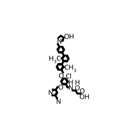 Cc1c(COc2cc(OCc3cncc(C#N)c3)c(CNC[C@@H](O)CC(=O)O)cc2Cl)cccc1-c1cccc(-c2ccc(CN3CC[C@H](O)C3)cc2)c1C